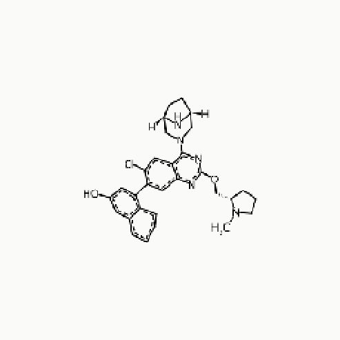 CN1CCC[C@H]1COc1nc(N2C[C@H]3CC[C@@H](C2)N3)c2cc(Cl)c(-c3cc(O)cc4ccccc34)cc2n1